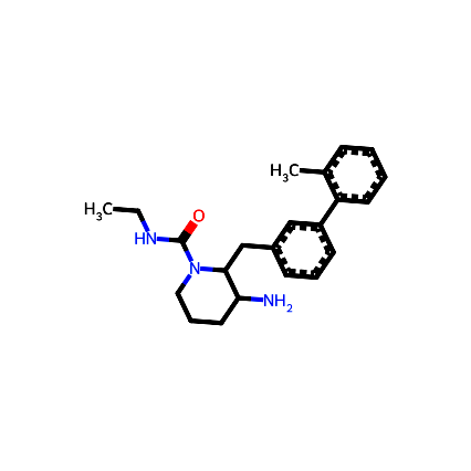 CCNC(=O)N1CCCC(N)C1Cc1cccc(-c2ccccc2C)c1